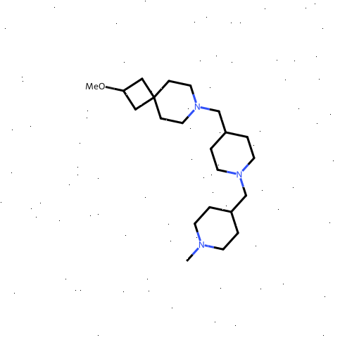 COC1CC2(CCN(CC3CCN(CC4CCN(C)CC4)CC3)CC2)C1